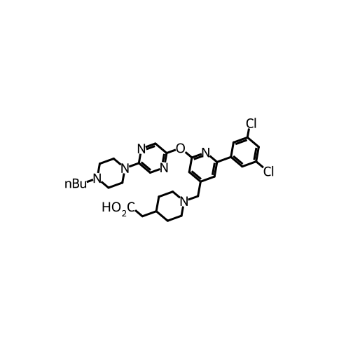 CCCCN1CCN(c2cnc(Oc3cc(CN4CCC(CC(=O)O)CC4)cc(-c4cc(Cl)cc(Cl)c4)n3)cn2)CC1